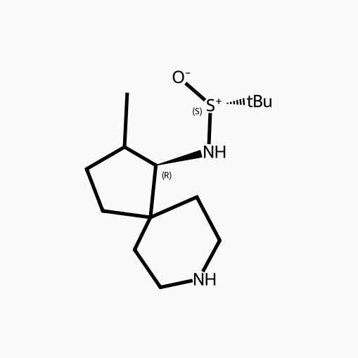 CC1CCC2(CCNCC2)[C@@H]1N[S@+]([O-])C(C)(C)C